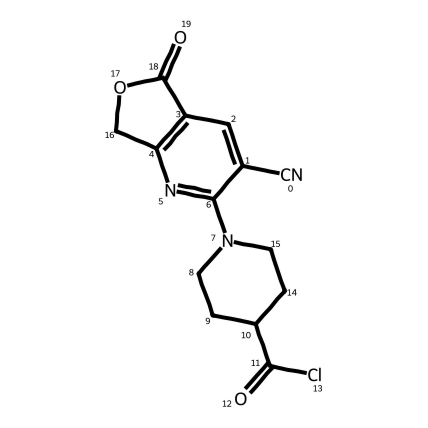 N#Cc1cc2c(nc1N1CCC(C(=O)Cl)CC1)COC2=O